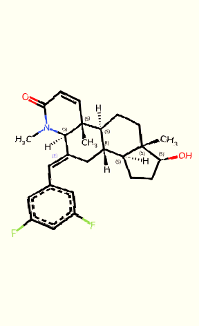 CN1C(=O)C=C[C@]2(C)[C@H]3CC[C@]4(C)[C@@H](O)CC[C@H]4[C@@H]3C/C(=C\c3cc(F)cc(F)c3)[C@@H]12